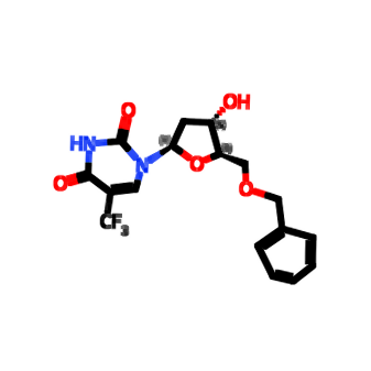 O=c1[nH]c(=O)n([C@H]2C[C@H](O)[C@@H](COCc3ccccc3)O2)cc1C(F)(F)F